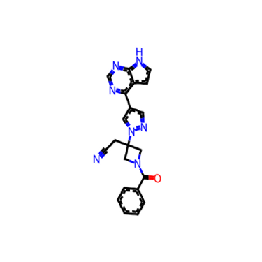 N#CCC1(n2cc(-c3ncnc4[nH]ccc34)cn2)CN(C(=O)c2ccccc2)C1